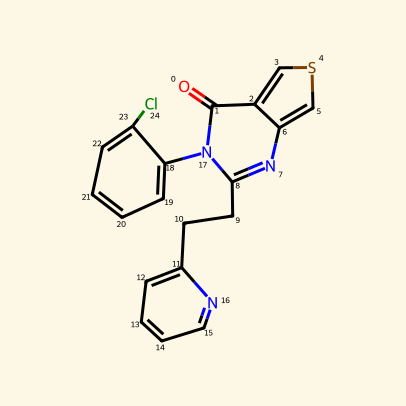 O=c1c2cscc2nc(CCc2ccccn2)n1-c1ccccc1Cl